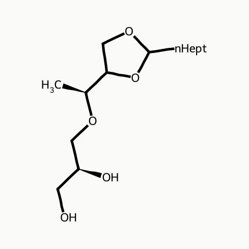 CCCCCCCC1OCC([C@H](C)OC[C@@H](O)CO)O1